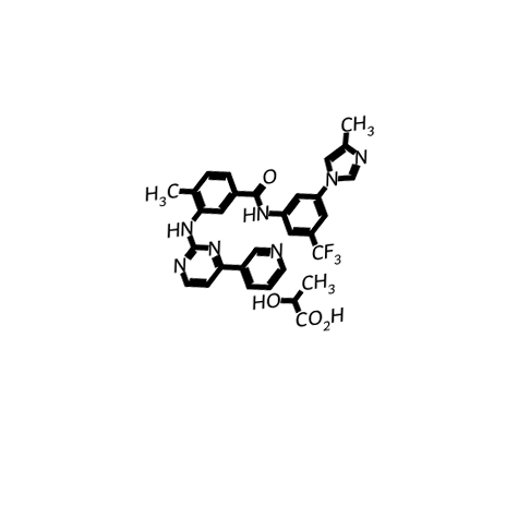 CC(O)C(=O)O.Cc1cn(-c2cc(NC(=O)c3ccc(C)c(Nc4nccc(-c5cccnc5)n4)c3)cc(C(F)(F)F)c2)cn1